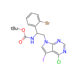 CC(C)(C)OC(=O)NC(Cn1cc(I)c2c(Cl)ncnc21)c1ccccc1Br